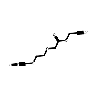 C#CCOC(=O)COCCOC#P=O